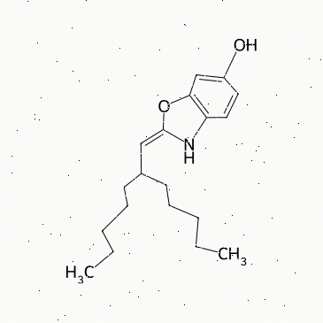 CCCCCC(/C=C1\Nc2ccc(O)cc2O1)CCCCC